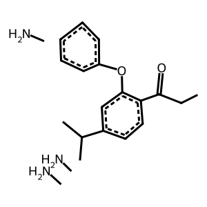 CCC(=O)c1ccc(C(C)C)cc1Oc1ccccc1.CN.CN.CN